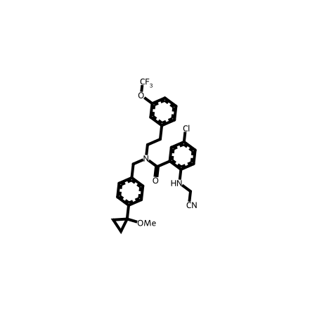 COC1(c2ccc(CN(CCc3cccc(OC(F)(F)F)c3)C(=O)c3cc(Cl)ccc3NCC#N)cc2)CC1